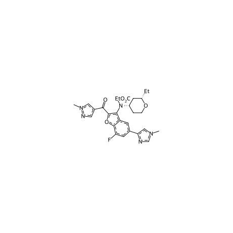 CCOC(=O)N(c1c(C(=O)c2cnn(C)c2)oc2c(F)cc(-c3cn(C)cn3)cc12)[C@H]1CCO[C@@H](CC)C1